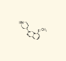 COc1cccc2ccc(C3CCNCC3)cc12